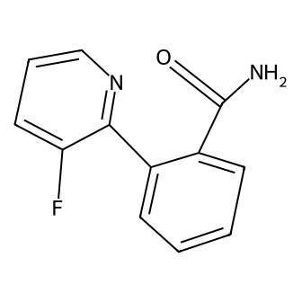 NC(=O)c1ccccc1-c1ncccc1F